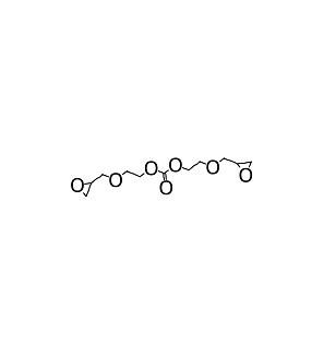 O=C(OCCOCC1CO1)OCCOCC1CO1